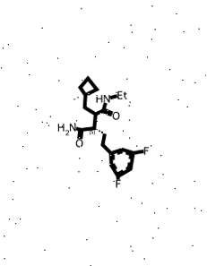 CCNC(=O)C(CC1CCC1)[C@H](CCc1cc(F)cc(F)c1)C(N)=O